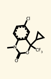 CN1C(=O)OC(C2CC2)(C(F)(F)F)c2cc(Cl)ccc21